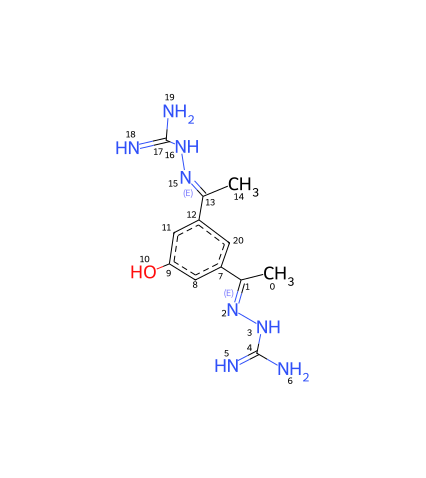 C/C(=N\NC(=N)N)c1cc(O)cc(/C(C)=N/NC(=N)N)c1